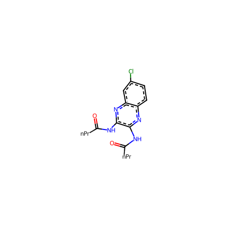 CCCC(=O)Nc1nc2ccc(Cl)cc2nc1NC(=O)CCC